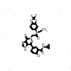 CCN(C(=O)Cn1nc(-c2ccc(Cl)c(C(=O)NC3CC3)c2)c2[nH]cnc2c1=O)c1ccc2c(c1)OC(F)(F)O2